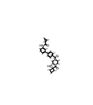 O=C(Nc1cccc(-c2ccc(C(=O)N3CCN(C(=O)C4(O)CCC4)CC3)cc2)c1)C1CC1